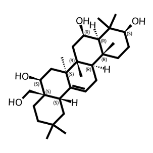 CC1(C)CC[C@]2(CO)[C@@H](O)C[C@]3(C)C(=CC[C@@H]4[C@@]5(C)CC[C@H](O)C(C)(C)[C@@H]5[C@H](O)C[C@]43C)[C@@H]2C1